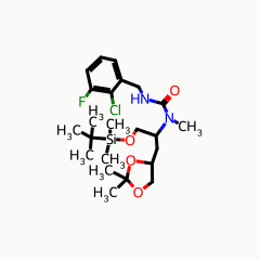 CN(C(=O)NCc1cccc(F)c1Cl)C(CO[Si](C)(C)C(C)(C)C)CC1COC(C)(C)O1